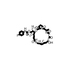 CC1=C\[C@@H](O)CC(=O)Cc2nc(co2)C(=O)N2CCC[C@@H]2C(=O)O[C@H]([C@H](C)COC(=O)Nc2ccc(F)cc2)[C@H](C)/C=C/C(=O)NC\C=C\1